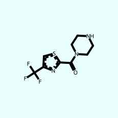 O=C(c1nc(C(F)(F)F)cs1)N1CCNCC1